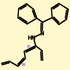 C=C/C=C\C=C(/C=C)NN=C(c1ccccc1)c1ccccc1